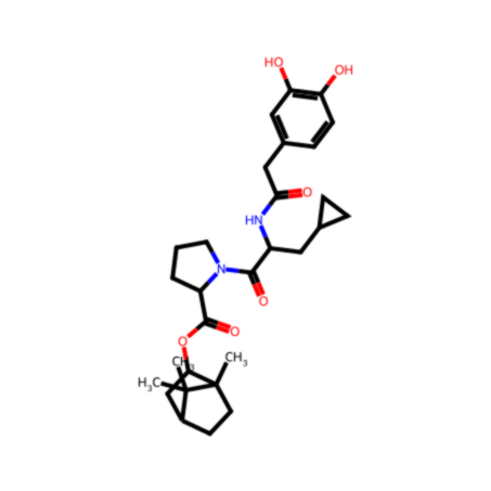 CC1(C)C2CCC1(C)C(OC(=O)C1CCCN1C(=O)C(CC1CC1)NC(=O)Cc1ccc(O)c(O)c1)C2